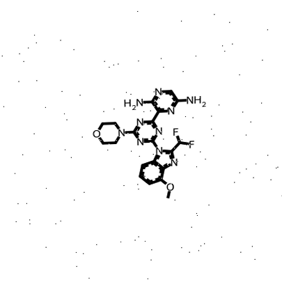 COc1cccc2c1nc(C(F)F)n2-c1nc(-c2nc(N)cnc2N)nc(N2CCOCC2)n1